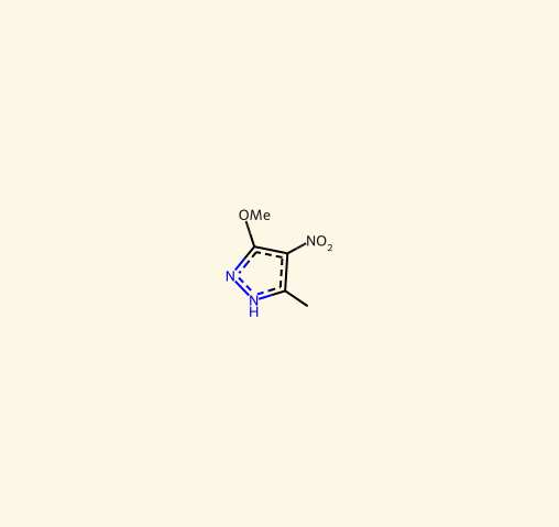 COc1n[nH]c(C)c1[N+](=O)[O-]